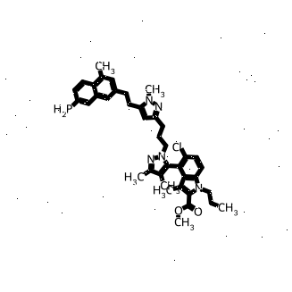 CCCn1c(C(=O)OC)c(C)c2c(-c3c(C)c(C)nn3CCCc3cc(CCc4cc(C)c5ccc(P)cc5c4)n(C)n3)c(Cl)ccc21